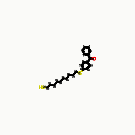 O=C(c1ccccc1)c1ccc(SCCCCCCCCCCS)cc1